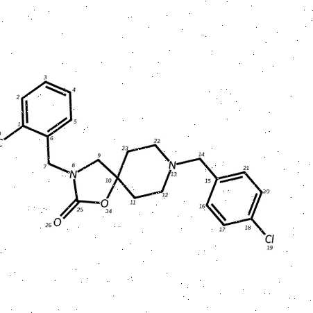 N#Cc1ccccc1CN1CC2(CCN(Cc3ccc(Cl)cc3)CC2)OC1=O